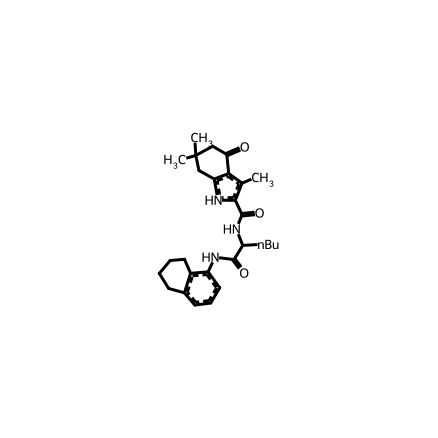 CCCCC(NC(=O)c1[nH]c2c(c1C)C(=O)CC(C)(C)C2)C(=O)Nc1cccc2c1CCCC2